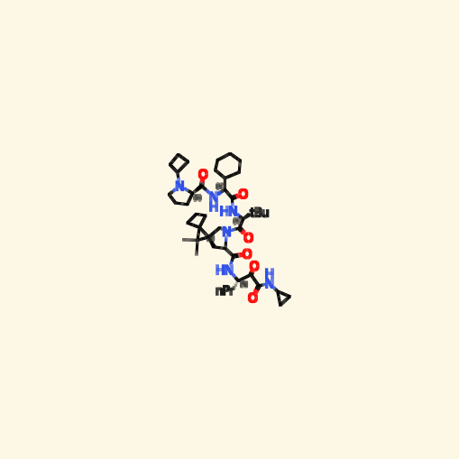 CCC[C@H](NC(=O)C1C[C@@]2(CN1C(=O)[C@@H](NC(=O)[C@@H](NC(=O)[C@H]1CCCN1C1CCC1)C1CCCCC1)C(C)(C)C)C(C)(C)C21CCC1)C(=O)C(=O)NC1CC1